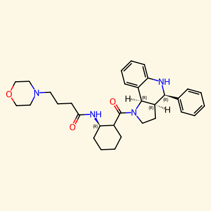 O=C(CCCN1CCOCC1)N[C@@H]1CCCCC1C(=O)N1CC[C@@H]2[C@H](c3ccccc3)Nc3ccccc3[C@@H]21